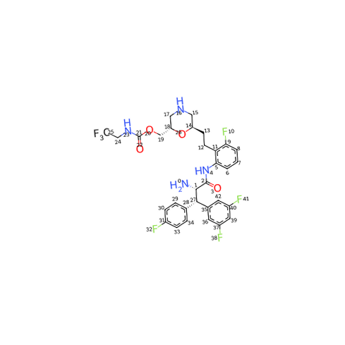 N[C@H](C(=O)Nc1cccc(F)c1CC[C@@H]1CNC[C@@H](COC(=O)NCC(F)(F)F)O1)[C@@H](c1ccc(F)cc1)c1cc(F)cc(F)c1